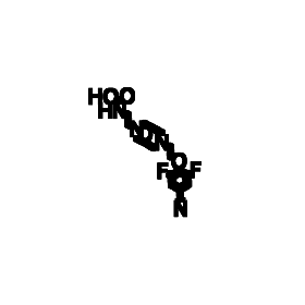 N#Cc1cc(F)c(OCCN2CC3CN(CCNC(=O)O)CC(C2)O3)c(F)c1